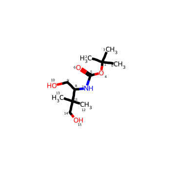 CC(C)(C)OC(=O)NC(CO)C(C)(C)CO